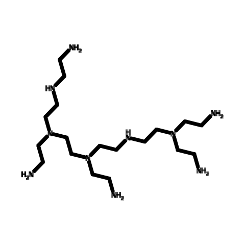 NCCNCCN(CCN)CCN(CCN)CCNCCN(CCN)CCN